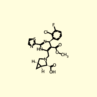 COC(=O)C1=C(CN2C[C@@H]3C[C@@H]3[C@H]2C(=O)O)NC(c2nccs2)=N[C@H]1c1cccc(F)c1Cl